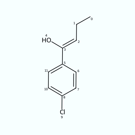 CCC=C(O)c1ccc(Cl)cc1